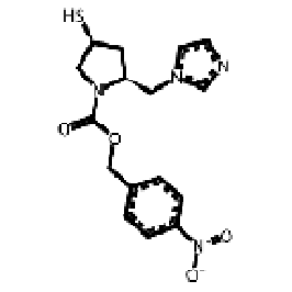 O=C(OCc1ccc([N+](=O)[O-])cc1)N1C[C@@H](S)C[C@H]1Cn1ccnc1